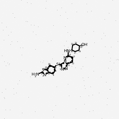 Nc1nc2ccc(Sc3nnc4ccc(N[C@H]5CC[C@H](O)CC5)nn34)cc2s1